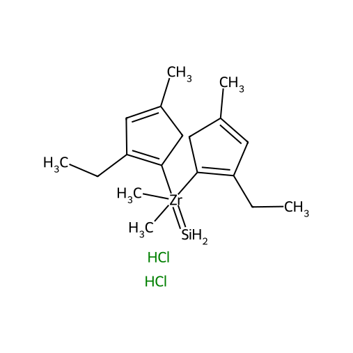 CCC1=[C]([Zr]([CH3])([CH3])(=[SiH2])[C]2=C(CC)C=C(C)C2)CC(C)=C1.Cl.Cl